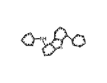 c1ccc(Nc2cccc3sc4c(-c5ccccc5)cccc4c23)cc1